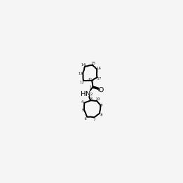 O=C(NC1CCCCCCC1)C1CCCCCC1